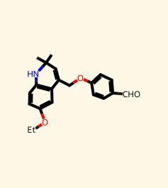 CCOc1ccc2c(c1)C(COc1ccc(C=O)cc1)=CC(C)(C)N2